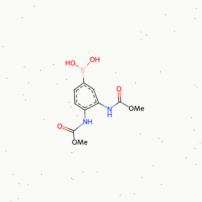 COC(=O)Nc1ccc(B(O)O)cc1NC(=O)OC